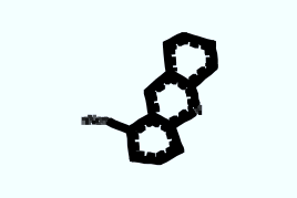 CCCCCCCCCc1cccc2nc3ccccc3cc12